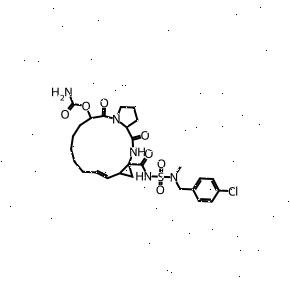 CN(Cc1ccc(Cl)cc1)S(=O)(=O)NC(=O)C12CC1/C=C/CCCCCC(OC(N)=O)C(=O)N1CCCC1C(=O)N2